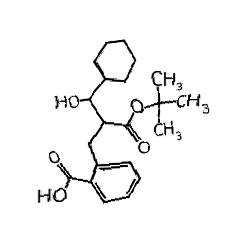 CC(C)(C)OC(=O)C(Cc1ccccc1C(=O)O)C(O)C1CCCCC1